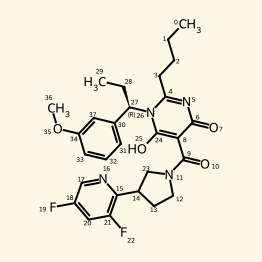 CCCCc1nc(=O)c(C(=O)N2CCC(c3ncc(F)cc3F)C2)c(O)n1[C@H](CC)c1cccc(OC)c1